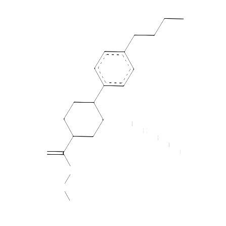 CCCCc1ccc(C2CCC(C(=O)OSF)CC2)cc1.F.F.F.F.F